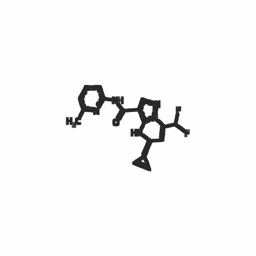 Cc1cccc(NC(=O)c2cnn3c2NC(=C2C=C2)C=C3C(F)F)n1